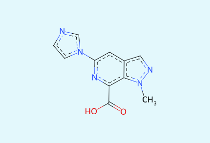 Cn1ncc2cc(-n3ccnc3)nc(C(=O)O)c21